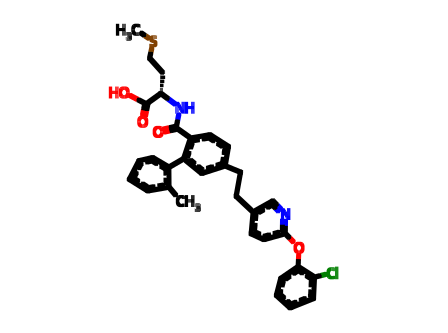 CSCC[C@H](NC(=O)c1ccc(CCc2ccc(Oc3ccccc3Cl)nc2)cc1-c1ccccc1C)C(=O)O